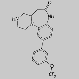 O=C1CC2CNCCN2c2cc(-c3cccc(OC(F)(F)F)c3)ccc2N1